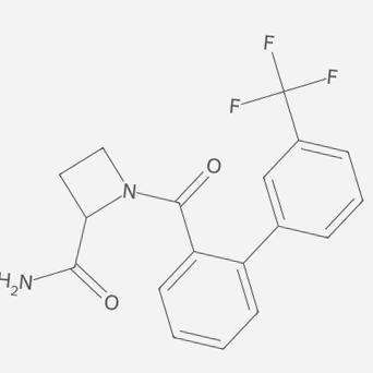 NC(=O)C1CCN1C(=O)c1ccccc1-c1cccc(C(F)(F)F)c1